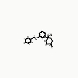 N#CC1(c2cccc(OCc3ccccc3)c2)CCC(=O)CC1